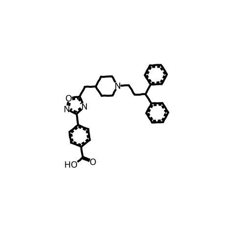 O=C(O)c1ccc(-c2noc(CC3CCN(CCC(c4ccccc4)c4ccccc4)CC3)n2)cc1